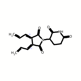 C=C/C=C1/C(=O)N(C2CCC(=O)NC2=O)C(=O)/C1=C/C=C